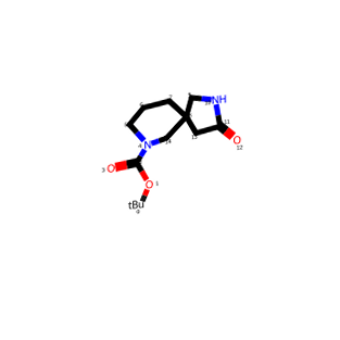 CC(C)(C)OC(=O)N1CCCC2(CNC(=O)C2)C1